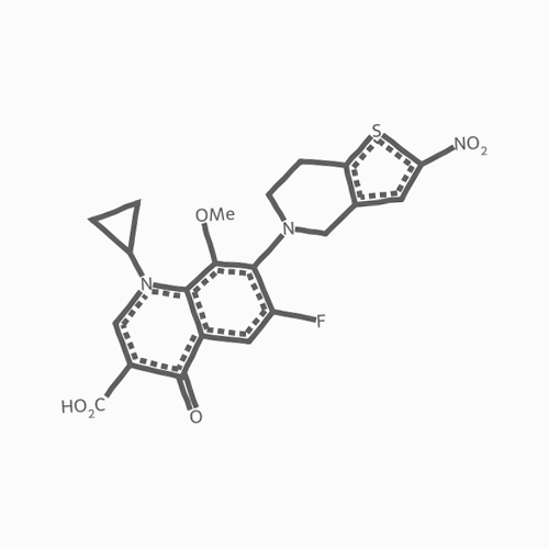 COc1c(N2CCc3sc([N+](=O)[O-])cc3C2)c(F)cc2c(=O)c(C(=O)O)cn(C3CC3)c12